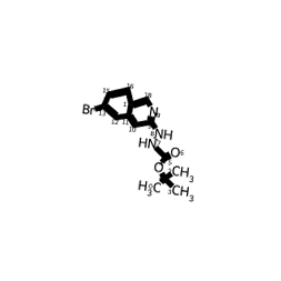 CC(C)(C)OC(=O)NNc1cc2cc(Br)ccc2cn1